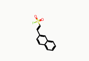 O=S(=O)(F)C=Cc1ccc2ccccc2c1